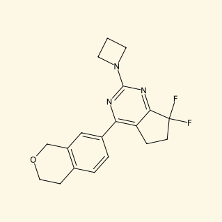 FC1(F)CCc2c(-c3ccc4c(c3)COCC4)nc(N3CCC3)nc21